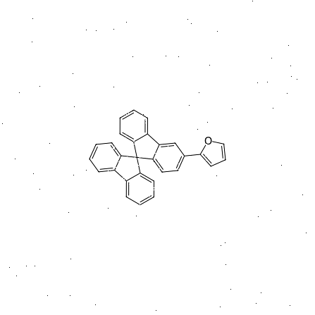 c1coc(-c2ccc3c(c2)-c2ccccc2C32c3ccccc3-c3ccccc32)c1